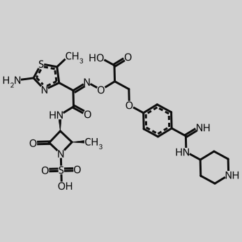 Cc1sc(N)nc1C(=NOC(COc1ccc(C(=N)NC2CCNCC2)cc1)C(=O)O)C(=O)N[C@@H]1C(=O)N(S(=O)(=O)O)[C@@H]1C